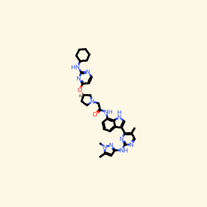 Cc1cnc(Nc2cc(C)n(C)n2)nc1-c1c[nH]c2c(NC(=O)CN3CC[C@H](Oc4ccnc(NC5CCCCC5)n4)C3)cccc12